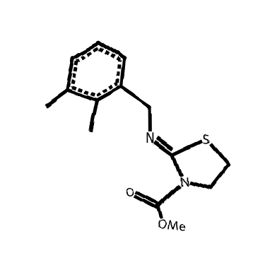 COC(=O)N1CCSC1=NCc1cccc(C)c1C